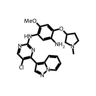 COc1cc(OC2CCN(C)C2)c(N)cc1Nc1ncc(Cl)c(-c2cnn3ccccc23)n1